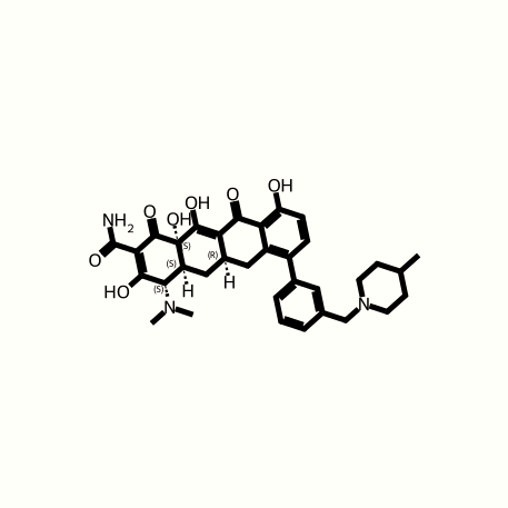 CC1CCN(Cc2cccc(-c3ccc(O)c4c3C[C@H]3C[C@H]5[C@H](N(C)C)C(O)=C(C(N)=O)C(=O)[C@@]5(O)C(O)=C3C4=O)c2)CC1